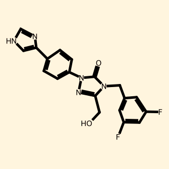 O=c1n(-c2ccc(-c3c[nH]cn3)cc2)nc(CO)n1Cc1cc(F)cc(F)c1